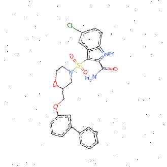 NC(=O)c1[nH]c2ccc(Cl)cc2c1S(=O)(=O)N1CCOC(COc2cccc(-c3ccccc3)c2)C1